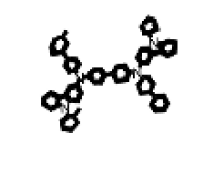 CC1C=C(c2ccc(N(c3ccc(-c4ccc(N(C5=CCC(c6ccccc6)C=C5)c5ccc6c(c5)c5ccccc5n6-c5ccccc5)cc4)cc3)c3ccc4c(c3)c3ccccc3n4C3=CC=CCC3C)cc2)C=CC1